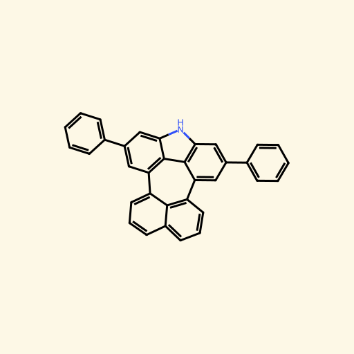 c1ccc(-c2cc3c4c(c2)[nH]c2cc(-c5ccccc5)cc(c24)-c2cccc4cccc-3c24)cc1